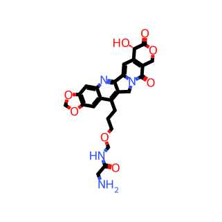 NCC(=O)NCOCCCc1c2c(nc3cc4c(cc13)OCO4)-c1cc3c(c(=O)n1C2)COC(=O)[C@H]3O